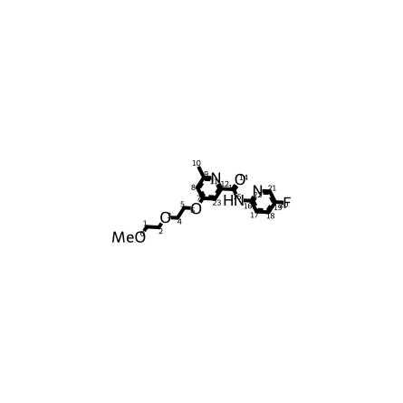 COCCOCCOc1cc(C)nc(C(=O)Nc2ccc(F)cn2)c1